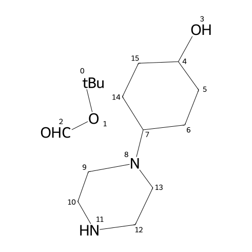 CC(C)(C)OC=O.OC1CCC(N2CCNCC2)CC1